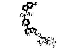 C[Si](C)(C)CCOCn1ccc2c(-c3ccc(C(=O)N[C@H]4CCc5ccc(F)cc54)cn3)ccnc21